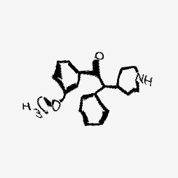 COc1cccc(C(=O)C(c2ccccc2)C2CCNCC2)c1